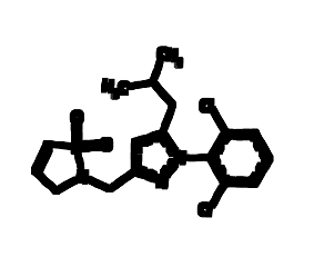 CC(C)Cc1cc(CN2CC=CS2(=O)=O)nn1-c1c(Cl)cccc1Cl